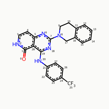 O=c1[nH]ccc2nc(N3CCc4ccccc4C3)nc(Nc3ccc(C(F)(F)F)cc3)c12